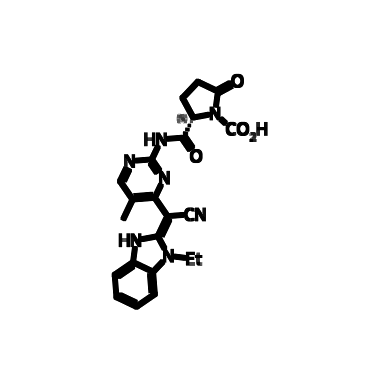 CCN1C(=C(C#N)c2nc(NC(=O)[C@@H]3CCC(=O)N3C(=O)O)ncc2C)Nc2ccccc21